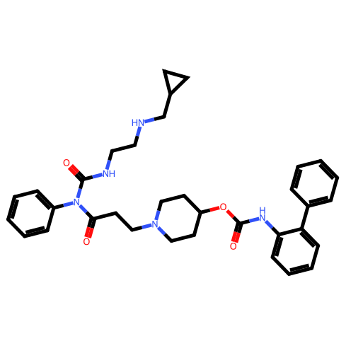 O=C(Nc1ccccc1-c1ccccc1)OC1CCN(CCC(=O)N(C(=O)NCCNCC2CC2)c2ccccc2)CC1